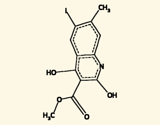 COC(=O)c1c(O)nc2cc(C)c(I)cc2c1O